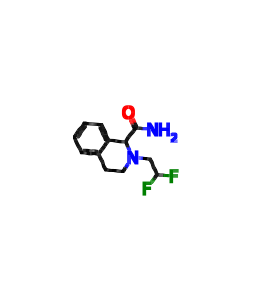 NC(=O)C1c2ccccc2CCN1CC(F)F